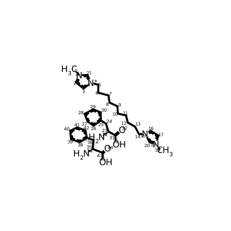 Cn1cc[n+](CCCCCCCCCC[n+]2ccn(C)c2)c1.N[C@@H](Cc1ccccc1)C(=O)O.N[C@@H](Cc1ccccc1)C(=O)O